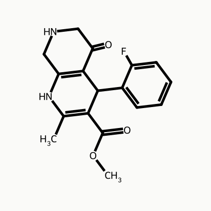 COC(=O)C1=C(C)NC2=C(C(=O)CNC2)C1c1ccccc1F